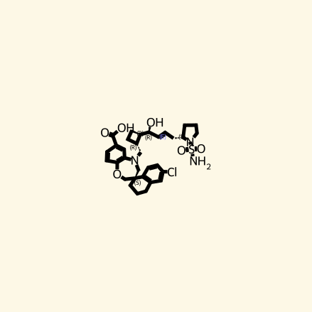 NS(=O)(=O)N1CCC[C@H]1C/C=C/[C@H](O)[C@@H]1CC[C@H]1CN1C[C@@]2(CCCc3cc(Cl)ccc32)COc2ccc(C(=O)O)cc21